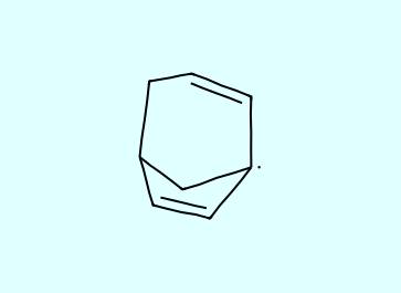 C1=C[C]2C=CC(C1)C2